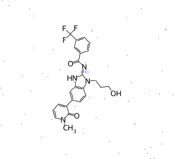 Cn1cccc(-c2ccc3c(c2)[nH]/c(=N\C(=O)c2cccc(C(F)(F)F)c2)n3CCCO)c1=O